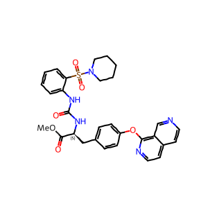 COC(=O)[C@H](Cc1ccc(Oc2nccc3ccncc23)cc1)NC(=O)Nc1ccccc1S(=O)(=O)N1CCCCC1